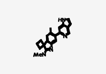 CNC1=Nc2cc(-c3cc4[nH]ccc4cn3)c(C)cc2C12CCC2